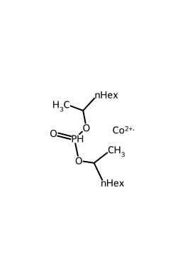 CCCCCCC(C)O[PH](=O)OC(C)CCCCCC.[Co+2]